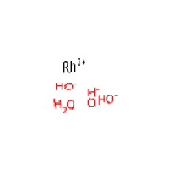 O.[OH-].[OH-].[OH-].[Rh+3]